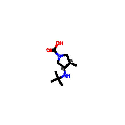 C[C@@H]1CN(C(=O)O)C[C@@H]1NC(C)(C)C